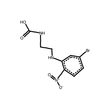 O=C(O)NCCNc1cc(Br)ccc1[N+](=O)[O-]